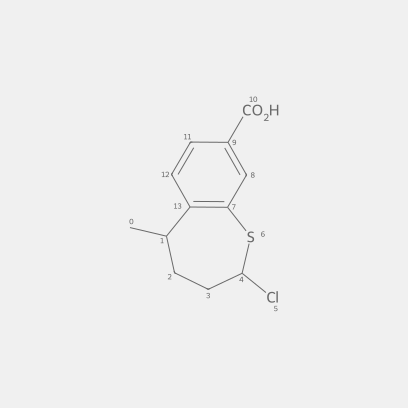 CC1CCC(Cl)Sc2cc(C(=O)O)ccc21